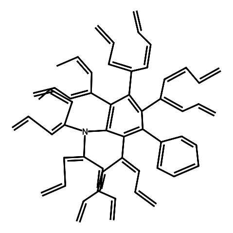 C=C/C=C\C(=C/C=C)c1c(C(/C=C\C=C)=C/C=C)c(-c2ccccc2)c(C(/C=C\C=C)=C/C=C)c(N(C(/C=C\C)=C/C=C)C(/C=C\C=C)=C/C=C)c1C(/C=C\C)=C/C=C